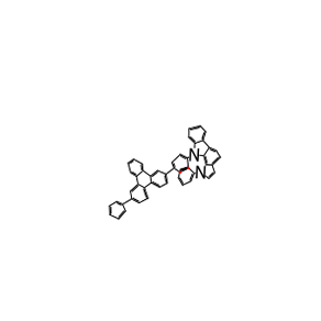 c1ccc(-c2ccc3c4ccc(-c5ccc(-n6c7ccccc7c7ccc8ccn(-c9ccccc9)c8c76)cc5)cc4c4ccccc4c3c2)cc1